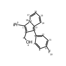 CC(C)c1c(CO)c(-c2ccc(F)cc2)c2ccccn12